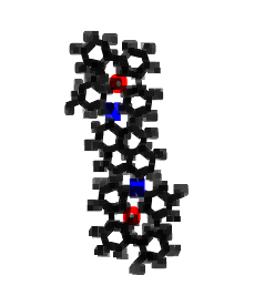 Cc1cc(C)cc(N(c2ccc3ccc4c(N(c5cc(C)cc(C)c5)c5cccc6c5oc5c(-c7ccccc7C)cccc56)ccc5ccc2c3c54)c2cccc3c2oc2c(-c4ccccc4C)cccc23)c1